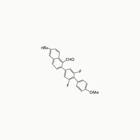 CCCCc1ccc2c(C=O)c(-c3cc(F)c(-c4ccc(OC)cc4)c(F)c3)ccc2c1